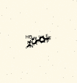 Cc1nc2cc(-c3ccc(C(F)(F)F)cc3)nc(O)n2n1